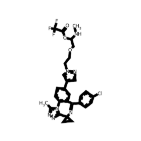 CNC(COCCn1cc(-c2ccc3c(c2)C(c2ccc(Cl)cc2)=NC2(CC2)c2nnc(C)n2-3)cn1)OC(=O)C(F)(F)F